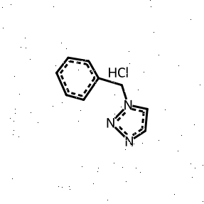 Cl.c1ccc(Cn2ccnn2)cc1